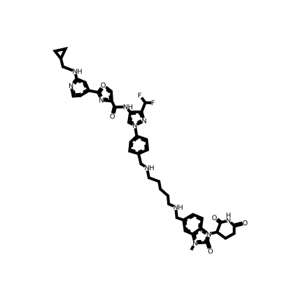 Cn1c(=O)n(C2CCC(=O)NC2=O)c2ccc(CNCCCCCNCc3ccc(-n4cc(NC(=O)c5coc(-c6ccnc(NCC7CC7)c6)n5)c(C(F)F)n4)cc3)cc21